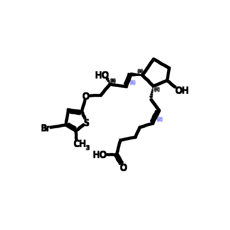 Cc1sc(OC[C@H](O)/C=C/[C@H]2CCC(O)[C@@H]2C/C=C\CCCC(=O)O)cc1Br